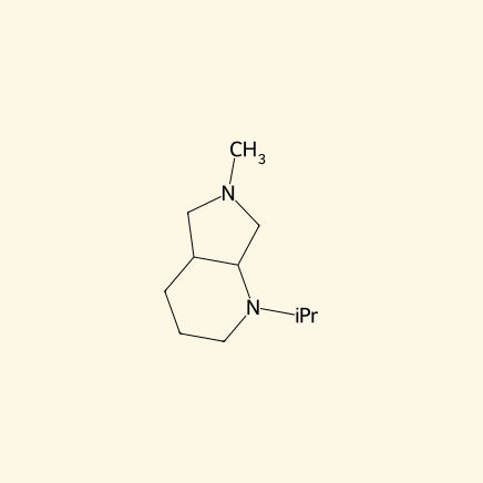 CC(C)N1CCCC2CN(C)CC21